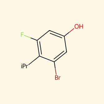 CC(C)c1c(F)cc(O)cc1Br